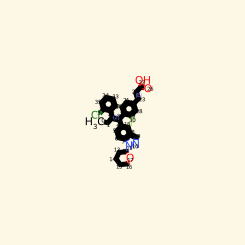 CC/C(=C(\c1ccc2c(cnn2C2CCCCO2)c1)c1ccc(/C=C/C(=O)O)cc1F)c1ccccc1Cl